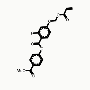 C=CC(=O)OCOc1ccc(C(=O)Oc2ccc(C(=O)OC)cc2)c(F)c1